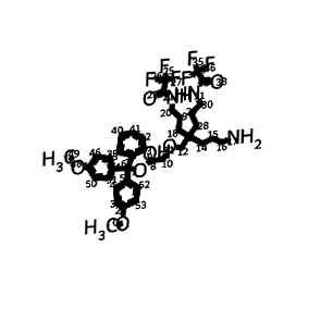 COc1ccc(C(OC(O)COCC(CCCN)(CCCNC(=O)C(F)(F)F)CCCNC(=O)C(F)(F)F)(c2ccccc2)c2ccc(OC)cc2)cc1